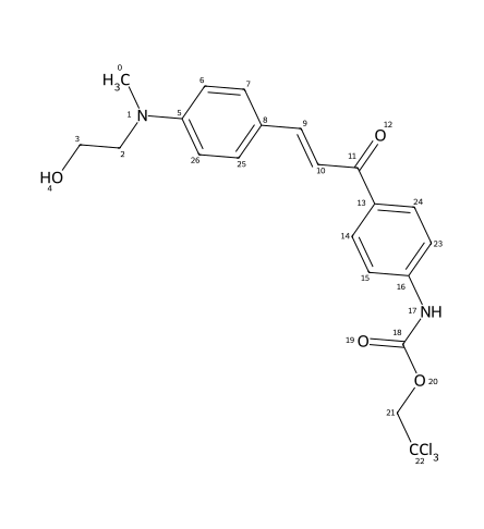 CN(CCO)c1ccc(/C=C/C(=O)c2ccc(NC(=O)OCC(Cl)(Cl)Cl)cc2)cc1